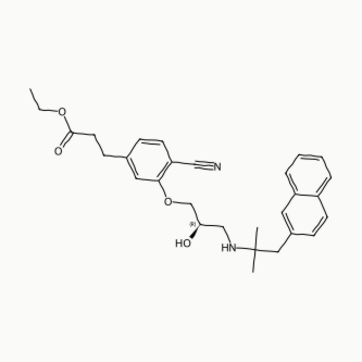 CCOC(=O)CCc1ccc(C#N)c(OC[C@H](O)CNC(C)(C)Cc2ccc3ccccc3c2)c1